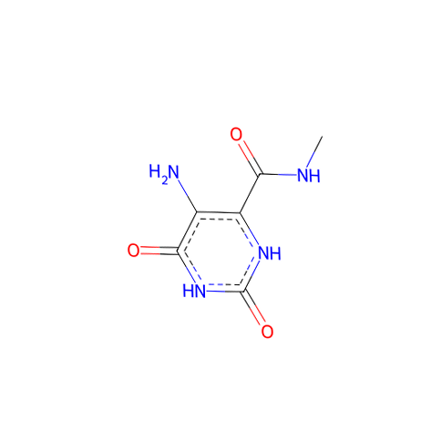 CNC(=O)c1[nH]c(=O)[nH]c(=O)c1N